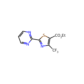 CCOC(=O)c1sc(-c2ncccn2)nc1C(F)(F)F